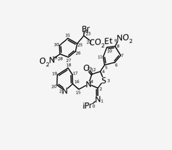 CC(C)/N=C1/SC(c2ccc([N+](=O)[O-])cc2)C(=O)N1Cc1ccccn1.CCOC(=O)C(Br)c1ccc([N+](=O)[O-])cc1